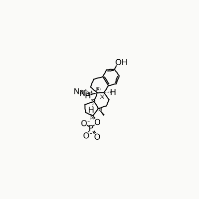 C[C@]12CC[C@@H]3c4ccc(O)cc4CC[C@H]3[C@@H]1CC[C@@H]2OP(=O)([O-])[O-].[Na+].[Na+]